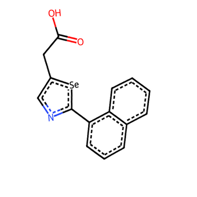 O=C(O)Cc1cnc(-c2cccc3ccccc23)[se]1